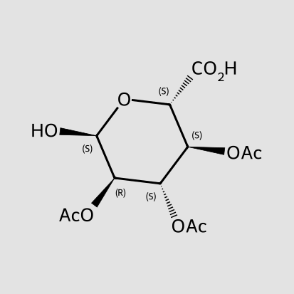 CC(=O)O[C@@H]1[C@@H](OC(C)=O)[C@@H](O)O[C@H](C(=O)O)[C@H]1OC(C)=O